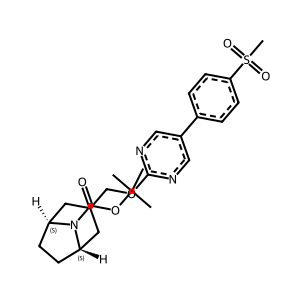 CC(C)(C)OC(=O)N1[C@H]2CC[C@H]1CC(COc1ncc(-c3ccc(S(C)(=O)=O)cc3)cn1)C2